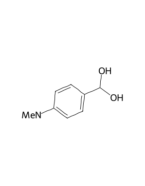 CNc1ccc(C(O)O)cc1